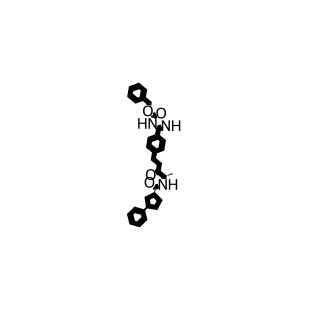 C[C@H](NC(=O)[C@@H]1CC[C@@H](c2ccccc2)C1)C(=O)CCc1ccc(C(=N)NC(=O)OCc2ccccc2)cc1